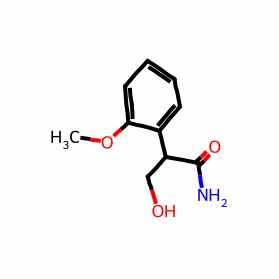 COc1ccccc1C(CO)C(N)=O